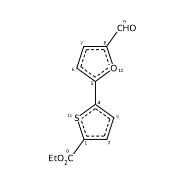 CCOC(=O)c1ccc(-c2ccc(C=O)o2)s1